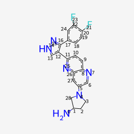 NC1CCN(c2cnc3ccc(-c4c[nH]nc4-c4ccc(F)c(F)c4)nc3c2)C1